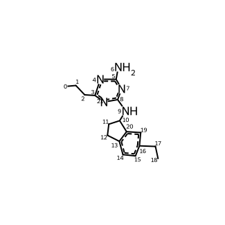 CCCc1nc(N)nc(NC2CCc3ccc(CC)cc32)n1